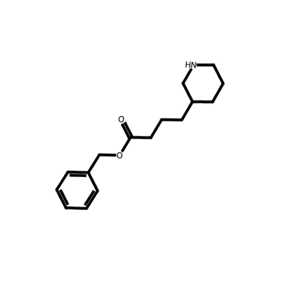 O=C(CCCC1CCCNC1)OCc1ccccc1